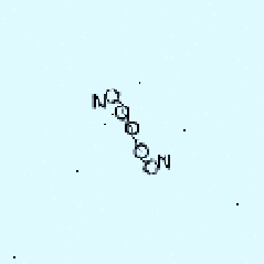 CN(C)c1cccc(COCCCOCCOCc2cccc(N(C)C)c2)c1